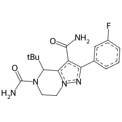 CC(C)(C)C1c2c(C(N)=O)c(-c3cccc(F)c3)nn2CCN1C(N)=O